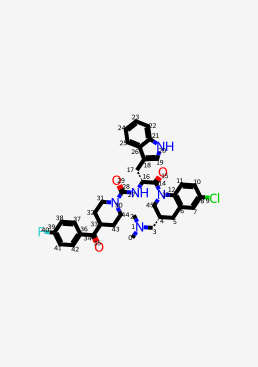 CN(C)C[C@H]1Cc2cc(Cl)ccc2N(C(=O)[C@@H](Cc2c[nH]c3ccccc23)NC(=O)N2CCC(C(=O)c3ccc(F)cc3)CC2)C1